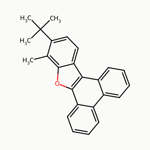 Cc1c(C(C)(C)C)ccc2c1oc1c3ccccc3c3ccccc3c21